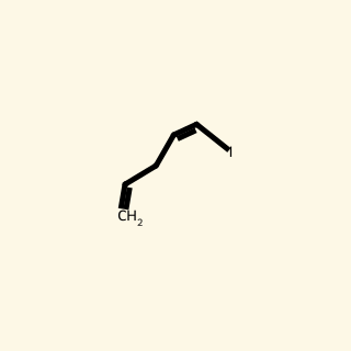 C=CC/C=C\I